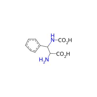 NC(C(=O)O)C(NC(=O)O)c1ccccc1